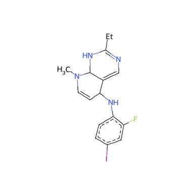 CCC1=NC=C2C(Nc3ccc(I)cc3F)C=CN(C)C2N1